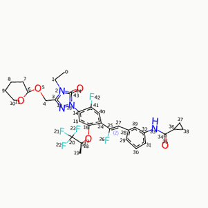 CCn1c(COC2CCCCO2)nn(-c2cc(O[C@@H](C)C(F)(F)F)c(/C(F)=C/c3cccc(NC(=O)C4CC4)c3)cc2F)c1=O